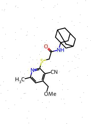 COCc1cc(C)nc(SCC(=O)NC23CC4CC(CC(C4)C2)C3)c1C#N